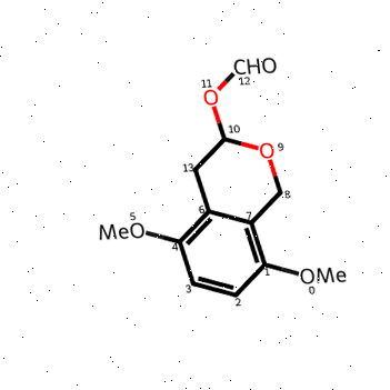 COc1ccc(OC)c2c1COC(OC=O)C2